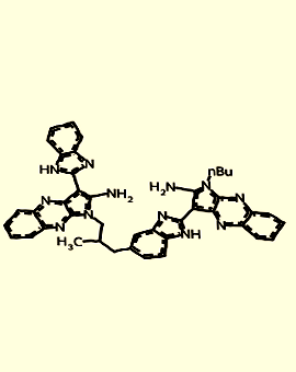 CCCCn1c(N)c(-c2nc3cc(CC(C)Cn4c(N)c(-c5nc6ccccc6[nH]5)c5nc6ccccc6nc54)ccc3[nH]2)c2nc3ccccc3nc21